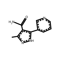 Cc1n[nH]c(-c2cccnc2)c1C(N)=O